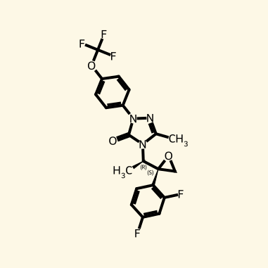 Cc1nn(-c2ccc(OC(F)(F)F)cc2)c(=O)n1[C@H](C)[C@@]1(c2ccc(F)cc2F)CO1